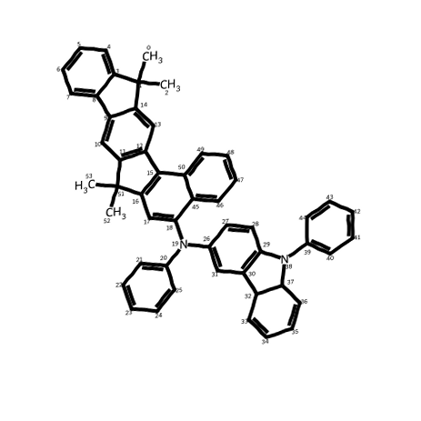 CC1(C)c2ccccc2-c2cc3c(cc21)-c1c(cc(N(c2ccccc2)c2ccc4c(c2)C2C=CC=CC2N4c2ccccc2)c2ccccc12)C3(C)C